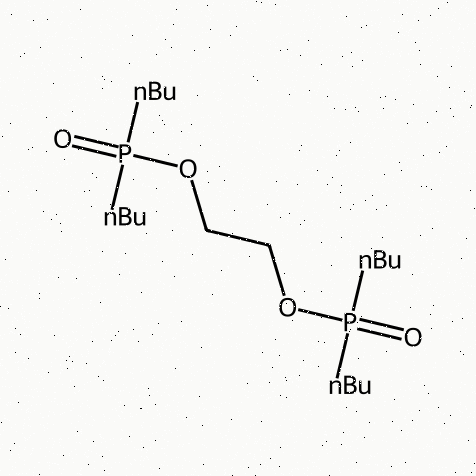 CCCCP(=O)(CCCC)OCCOP(=O)(CCCC)CCCC